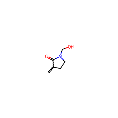 C=C1CCN(CO)C1=O